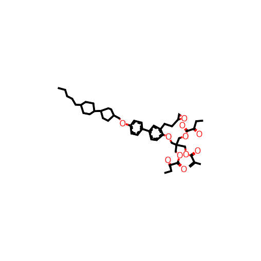 C=C(C)C(=O)OCC(COC(=O)C(=O)CC)(COC(=O)C(=O)CC)COc1ccc(-c2ccc(OCC3CCC(C4CCC(CCCCC)CC4)CC3)cc2)cc1CCC1CO1